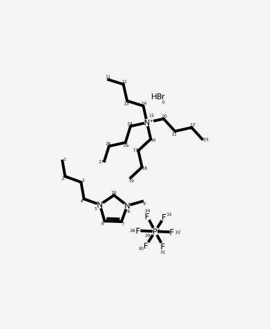 Br.CCCCN1C=CN(C)C1.CCCC[N+](CCCC)(CCCC)CCCC.F[P-](F)(F)(F)(F)F